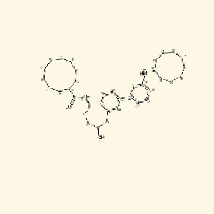 O=C(N[C@@H]1CCC(O)Cc2cc(-c3ncnc(NC4CCCCCCCC4)n3)ccc21)C1CCCCCCCCC1